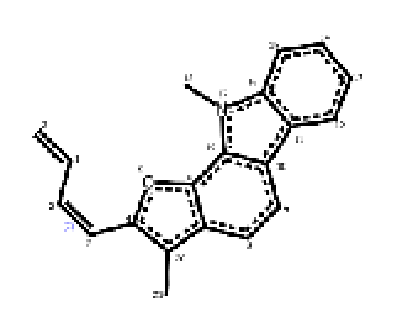 C=C/C=C\c1oc2c(ccc3c4ccccc4n(C)c32)c1C